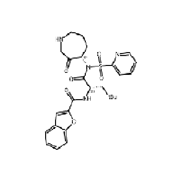 CC(C)(C)C[C@H](NC(=O)c1cc2ccccc2o1)C(=O)N([C@H]1CCCNCC1=O)S(=O)(=O)c1ccccn1